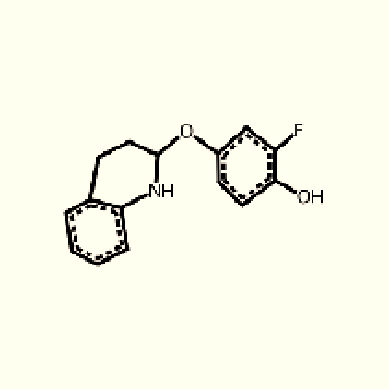 Oc1ccc(OC2CCc3ccccc3N2)cc1F